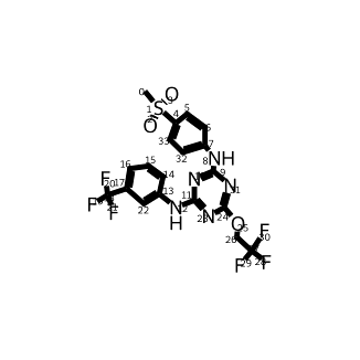 CS(=O)(=O)c1ccc(Nc2nc(Nc3cccc(C(F)(F)F)c3)nc(OCC(F)(F)F)n2)cc1